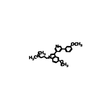 COc1cccc(-c2cncc(-c3cn(CCCN(C)C)c4ccc(OC)cc34)c2)c1